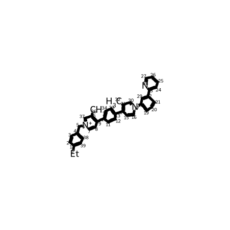 CCc1ccc(C[n+]2ccc(-c3ccc(-c4cc[n+](-c5cccc(-c6ccccn6)c5)cc4C)cc3)c(C)c2)cc1